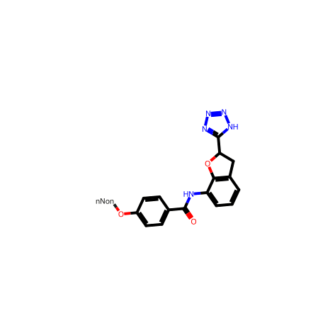 CCCCCCCCCOc1ccc(C(=O)Nc2cccc3c2OC(c2nnn[nH]2)C3)cc1